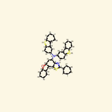 c1ccc(-c2nc3c(N(c4ccc5sc6ccccc6c5c4)c4ccc5sc6ccccc6c5c4)cc4oc5ccccc5c4c3s2)cc1